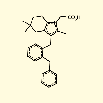 Cc1c(Cc2ccccc2Cc2ccccc2)c2c(n1CC(=O)O)CCC(C)(C)C2